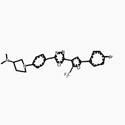 CN(C)C1CCN(c2ccc(-c3nnc(-c4cc(-c5ccc(Br)cc5)oc4C(F)(F)F)o3)cc2)C1